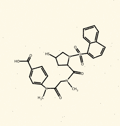 CN(CC(=O)N(C)c1ccc(C(=O)O)cc1)C(=O)C1CC(S)CN1S(=O)(=O)c1cccc2ccccc12